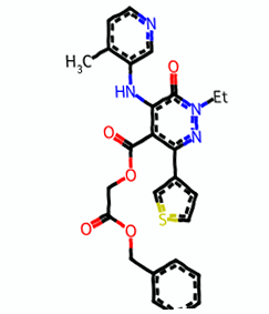 CCn1nc(-c2ccsc2)c(C(=O)OCC(=O)OCc2ccccc2)c(Nc2cnccc2C)c1=O